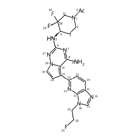 CC(=O)N1CC[C@@H](Nc2nc(N)c3c(-c4ccc5ncn(CCF)c5n4)ccn3n2)C(F)(F)C1